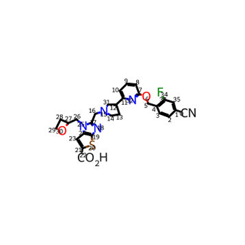 N#Cc1ccc(COc2cccc(C3CCN(Cc4nc5sc(C(=O)O)cc5n4CC4CCO4)C3)n2)c(F)c1